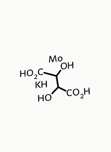 O=C(O)C(O)C(O)C(=O)O.[KH].[Mo]